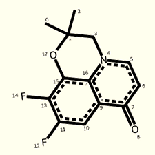 CC1(C)Cn2ccc(=O)c3cc(F)c(F)c(c32)O1